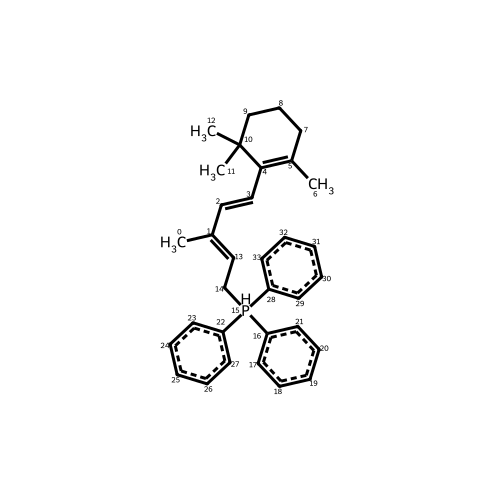 CC(C=CC1=C(C)CCCC1(C)C)=CC[PH](c1ccccc1)(c1ccccc1)c1ccccc1